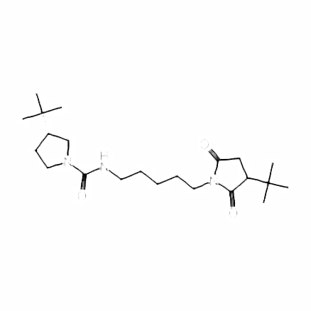 CC(C)(C)C1CC(=O)N(CCCCCNC(=O)N2CC[C@H](C(C)(C)C)C2)C1=O